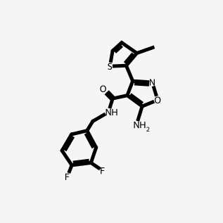 Cc1ccsc1-c1noc(N)c1C(=O)NCc1ccc(F)c(F)c1